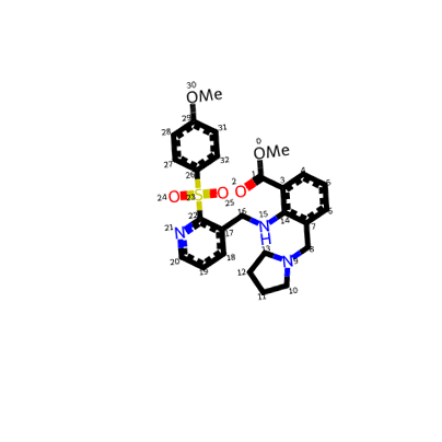 COC(=O)c1cccc(CN2CCCC2)c1NCc1cccnc1S(=O)(=O)c1ccc(OC)cc1